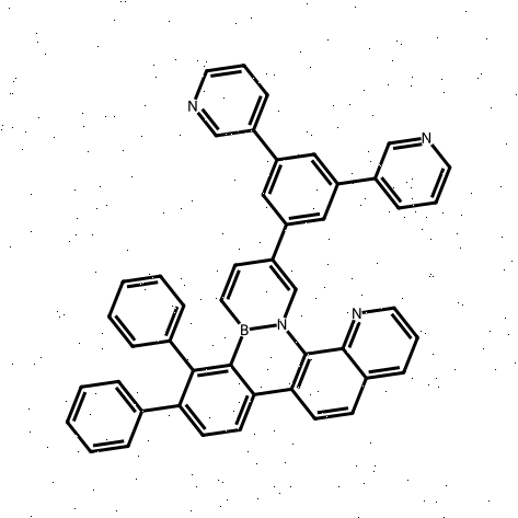 C1=CC(c2cc(-c3cccnc3)cc(-c3cccnc3)c2)=CN2B1c1c(ccc(-c3ccccc3)c1-c1ccccc1)-c1ccc3cccnc3c12